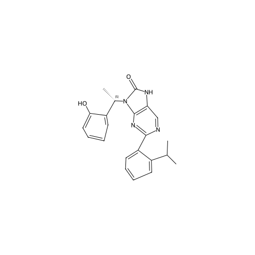 CC(C)c1ccccc1-c1ncc2[nH]c(=O)n([C@@H](C)c3ccccc3O)c2n1